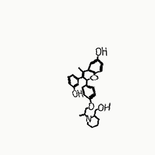 CC1=C(c2cccc(O)c2)C(c2ccc(OCC(C)N3CCCCC3CO)cc2)Oc2ccc(O)cc21